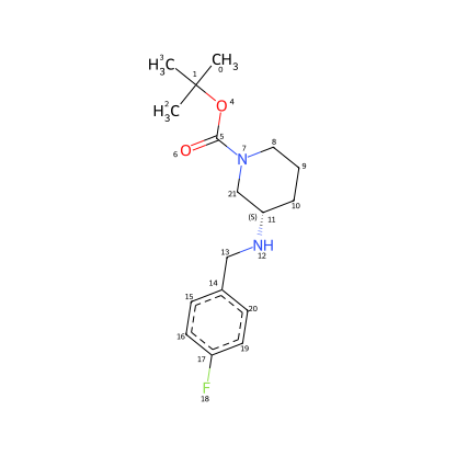 CC(C)(C)OC(=O)N1CCC[C@H](NCc2ccc(F)cc2)C1